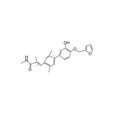 CNC(=O)/C(C)=C/c1cc(C)c(-c2ccc(OCc3ccco3)c(O)c2)cc1C